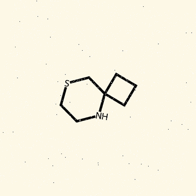 C1CC2(C1)CSCCN2